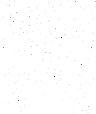 c1ccc(-n2c3ccccc3c3c(N(c4ccc5c(ccc6ccc7ccccc7c65)c4)c4ccc5c(c4)sc4ccccc45)cccc32)cc1